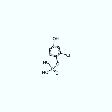 O=P(O)(O)Oc1ccc(O)cc1Cl